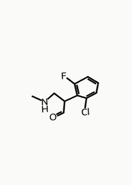 CNCC(C=O)c1c(F)cccc1Cl